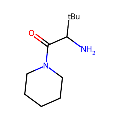 CC(C)(C)C(N)C(=O)N1CCCCC1